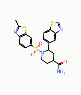 Cc1nc2ccc(S(=O)(=O)N3CCC(C(N)=O)CC3c3ccc4scnc4c3)cc2s1